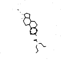 C[C@]12CCC3c4ccc(OC(=O)N(CCCl)CCCl)cc4CCC3C1CC[C@@H]2OP(O)O